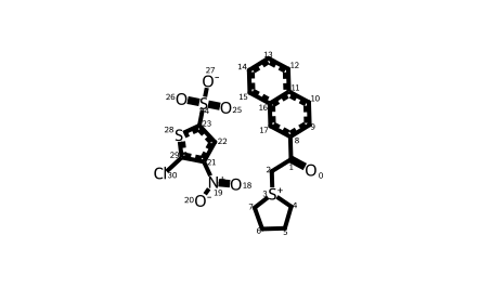 O=C(C[S+]1CCCC1)c1ccc2ccccc2c1.O=[N+]([O-])c1cc(S(=O)(=O)[O-])sc1Cl